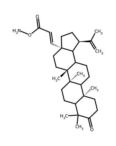 C=C(C)[C@@H]1CC[C@]2(/C=C/C(=O)ON)CC[C@]3(C)C(CCC4[C@@]5(C)CCC(=O)C(C)(C)C5CC[C@]43C)C12